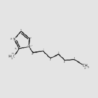 CCCCCCCn1[c]cnc1C